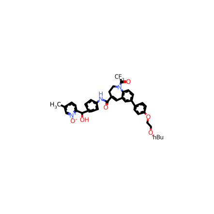 CCCCOCCOc1ccc(-c2ccc3c(c2)C=C(C(=O)Nc2ccc(C(O)c4ccc(C)c[n+]4[O-])cc2)CCN3C(=O)C(F)(F)F)cc1